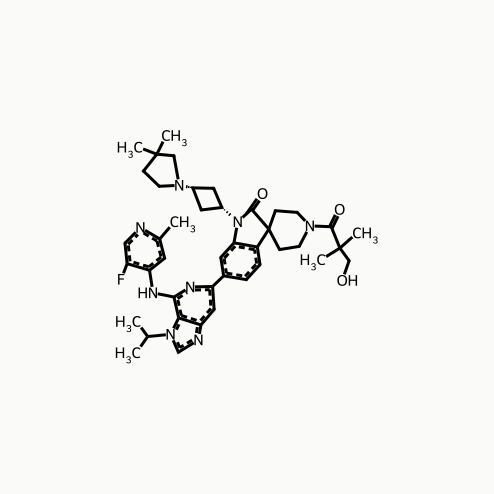 Cc1cc(Nc2nc(-c3ccc4c(c3)N([C@H]3C[C@@H](N5CCC(C)(C)C5)C3)C(=O)C43CCN(C(=O)C(C)(C)CO)CC3)cc3ncn(C(C)C)c23)c(F)cn1